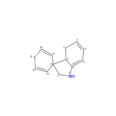 C1=CCC2C(=C1)NCC21C=CSC=C1